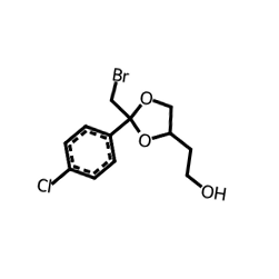 OCCC1COC(CBr)(c2ccc(Cl)cc2)O1